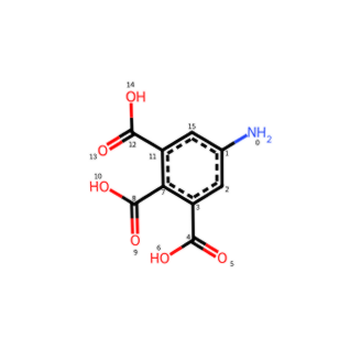 Nc1cc(C(=O)O)c(C(=O)O)c(C(=O)O)c1